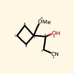 COC1(C(O)CC#N)CCC1